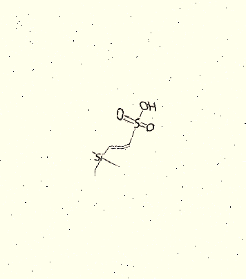 C[Si](C)(C)C=CS(=O)(=O)O